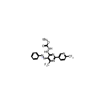 CC(C)(C)OC(=O)NNc1nc(-c2ccc(C(F)(F)F)nc2)nc(C(F)(F)F)c1/N=N/c1ccccc1